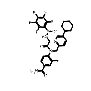 NC(=O)c1ccc(N(Cc2ccc(C3CCCCC3)cn2)C(=O)CN[S+]([O-])c2c(F)c(F)c(F)c(F)c2F)c(F)c1